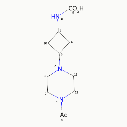 CC(=O)N1CCN(C2CC(NC(=O)O)C2)CC1